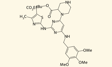 CCOC(=O)c1sc(Nc2nc(NCc3cc(OC)c(OC)c(OC)c3)cc(N3CCNCC3C(=O)OC(C)(C)C)n2)nc1C